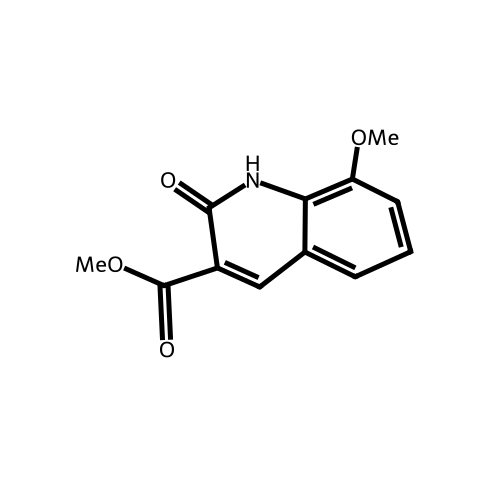 COC(=O)c1cc2cccc(OC)c2[nH]c1=O